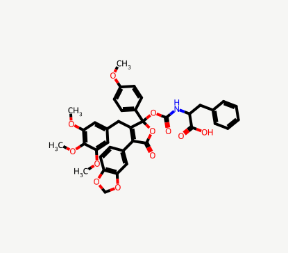 COc1ccc(C2(OC(=O)NC(Cc3ccccc3)C(=O)O)OC(=O)C(c3ccc4c(c3)OCO4)=C2Cc2cc(OC)c(OC)c(OC)c2)cc1